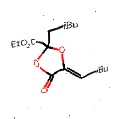 CCOC(=O)C1(CC(C)CC)OC(=O)/C(=C/C(C)CC)O1